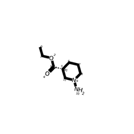 CCOC(=O)[C@@H]1CCCN(N)C1